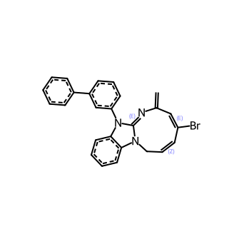 C=C1/C=C(Br)\C=C/CN2/C(=N\1)N(c1cccc(-c3ccccc3)c1)c1ccccc12